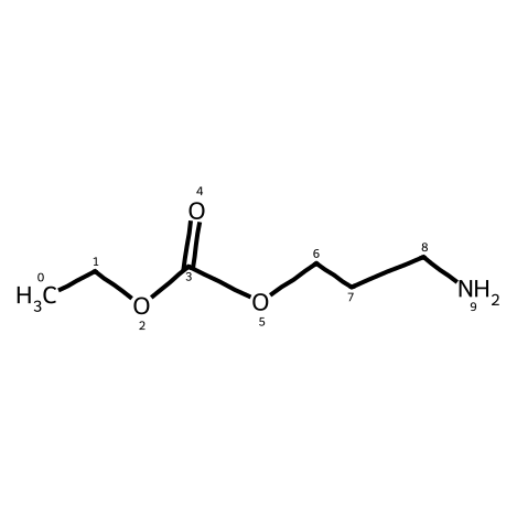 CCOC(=O)OCCCN